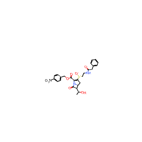 CC(O)C1C(=O)N2C(C(=O)OCc3ccc([N+](=O)[O-])cc3)=C([S+]([O-])CCNC(=O)Cc3ccccc3)CC12